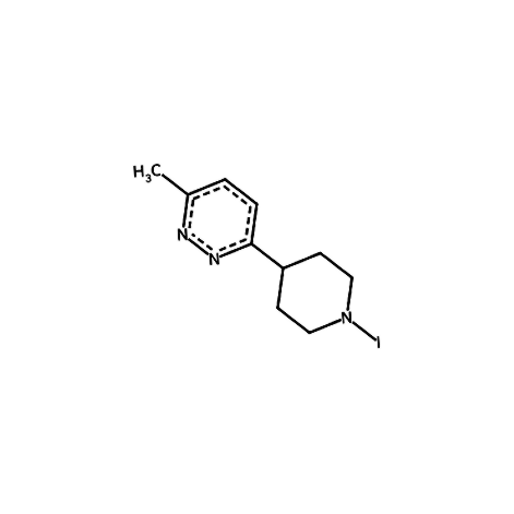 Cc1ccc(C2CCN(I)CC2)nn1